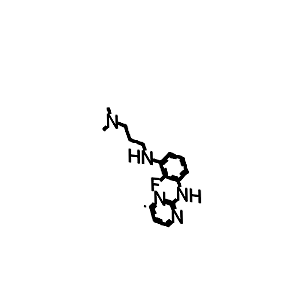 CN(C)CCCNc1cccc(Nc2n[c]ccn2)c1F